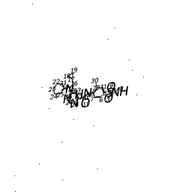 CNS(=O)(=O)c1ccc(NC(=O)c2cc(N(CC3CC3)C3CCCCC3)ncn2)c(C)c1